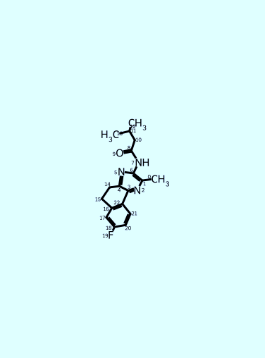 Cc1nc2c(nc1NC(=O)CC(C)C)CCc1cc(F)ccc1-2